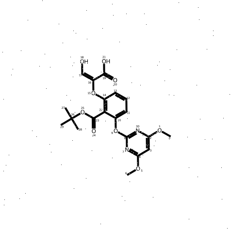 COc1cc(OC)nc(Oc2cccc(OC(=CO)C(=O)O)c2C(=O)OC(C)(C)C)n1